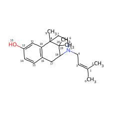 CC(C)=CCN1CCC2(C)c3cc(O)ccc3CC1C2(C)C